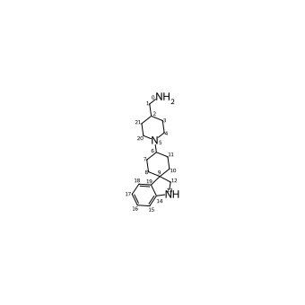 NCC1CCN(C2CCC3(CC2)CNc2ccccc23)CC1